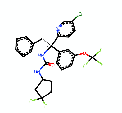 O=C(NC1CCC(F)(F)C1)N[C@](Cc1ccccc1)(c1cccc(OC(F)(F)F)c1)c1ccc(Cl)cn1